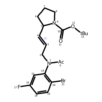 CC(=O)N(C/C=C/C1CCCN1C(=O)OC(C)(C)C)c1cc(F)ccc1Br